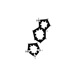 c1c[nH]nn1.c1ccc2[nH]ccc2c1